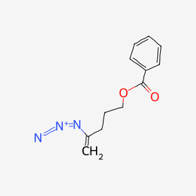 C=C(CCCOC(=O)c1ccccc1)N=[N+]=[N-]